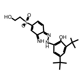 CC(C)(C)c1cc(N/N=C2/C=CC(S(=O)(=O)CCO)=CC2=N)c(O)c(C(C)(C)C)c1